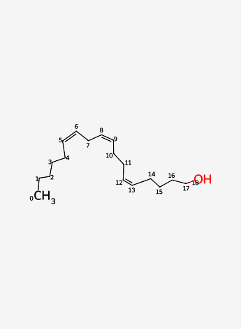 CCCCC/C=C\C/C=C\CC/C=C\CCCCO